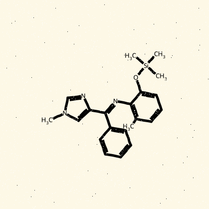 Cc1cccc(O[Si](C)(C)C)c1N=C(c1ccccc1)c1cn(C)cn1